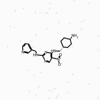 N[C@H]1CC[C@H](CNc2nc(NCc3cccnc3)ncc2[N+](=O)[O-])CC1